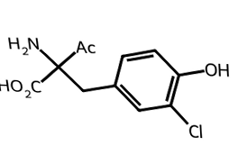 CC(=O)C(N)(Cc1ccc(O)c(Cl)c1)C(=O)O